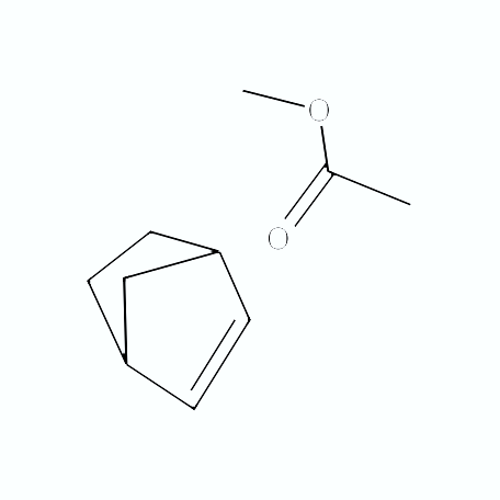 C1=CC2CCC1C2.COC(C)=O